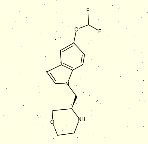 FC(F)Oc1ccc2c(ccn2C[C@@H]2COCCN2)c1